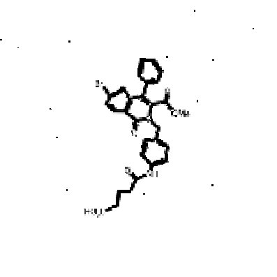 COC(=O)c1c(-c2ccccc2)c2cc(Br)ccc2c(=O)n1Cc1ccc(NC(=O)CCCC(=O)O)cc1